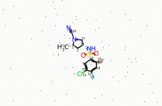 C[C@H]1C[C@@H](NS(=O)(=O)c2cc(Cl)c(F)cc2Br)CN1C#N